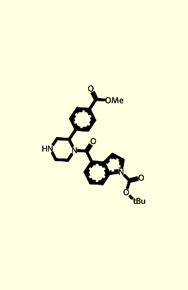 COC(=O)c1ccc(C2CNCCN2C(=O)c2cccc3c2ccn3C(=O)OC(C)(C)C)cc1